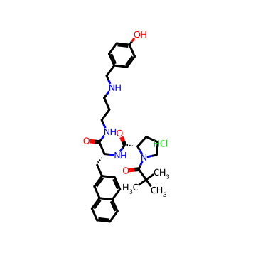 CC(C)(C)C(=O)N1CCC[C@H]1C(=O)N[C@H](Cc1ccc2ccccc2c1)C(=O)NCCCNCc1ccc(O)cc1.Cl